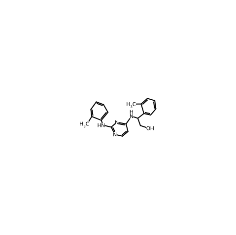 Cc1ccccc1Nc1nccc(NC(CO)c2ccccc2C)n1